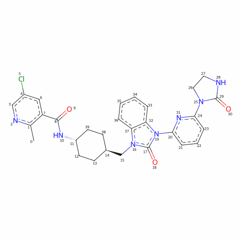 Cc1ncc(Cl)cc1C(=O)N[C@H]1CC[C@H](Cn2c(=O)n(-c3cccc(N4CCNC4=O)n3)c3ccccc32)CC1